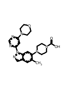 Cc1cc2cnn(-c3cc(N4CCOCC4)ncn3)c2cc1N1CCN(C(=O)O)CC1